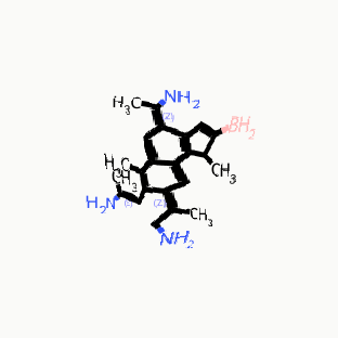 BC1=Cc2c(c3c/c(=C(\C)CN)c(/C=C(\C)N)c(C)c3c/c2=C(\C)N)C1C